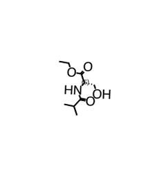 CCOC(=O)[C@H](CO)NC(=O)C(C)C